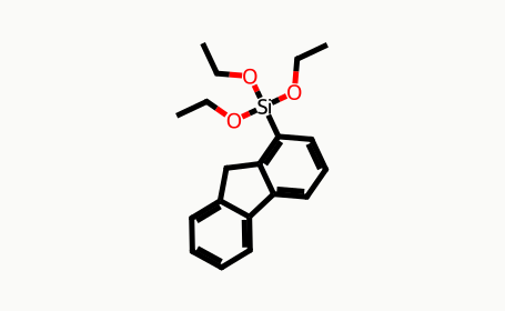 CCO[Si](OCC)(OCC)c1cccc2c1Cc1ccccc1-2